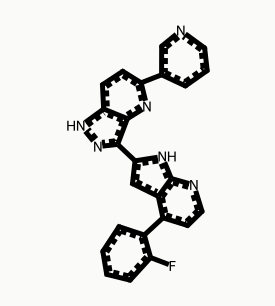 Fc1ccccc1-c1ccnc2[nH]c(-c3n[nH]c4ccc(-c5cccnc5)nc34)cc12